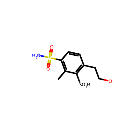 Cc1c(S(N)(=O)=O)ccc(CC[O])c1S(=O)(=O)O